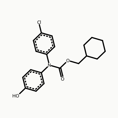 O=C(OCC1CCCCC1)N(c1ccc(O)cc1)c1ccc(Cl)cc1